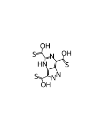 OC(=S)c1nc(C(O)=S)c2nnc(C(O)=S)c-2[nH]1